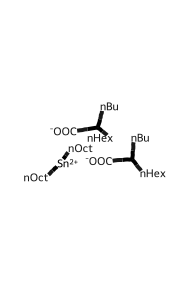 CCCCCCC(CCCC)C(=O)[O-].CCCCCCC(CCCC)C(=O)[O-].CCCCCCC[CH2][Sn+2][CH2]CCCCCCC